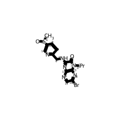 CC(C)n1c(=O)c(NCc2ccc([S+](C)[O-])cn2)nc2ncc(Br)nc21